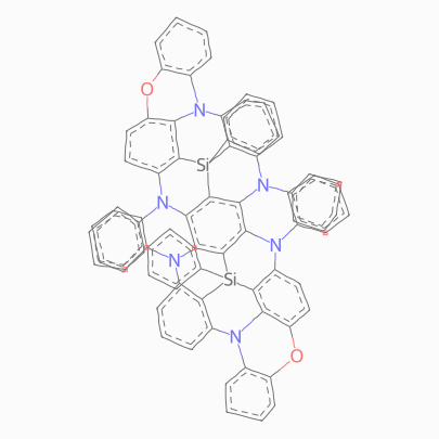 c1ccc(N2c3cccc4c3[Si]3(c5ccccc5)c5c(ccc6c5N4c4ccccc4O6)N(c4ccccc4)c4c5c6c(c2c43)N(c2ccccc2)c2ccc3c4c2[Si]6(c2ccccc2)c2c(cccc2N4c2ccccc2O3)N5c2ccccc2)cc1